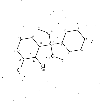 CO[Si](OC)(C1CCCCC1)C1CCCC(Cl)C1Cl